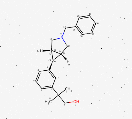 CC(C)(CO)c1cccc([C@H]2[C@@H]3CN(Cc4ccccc4)C[C@@H]32)c1